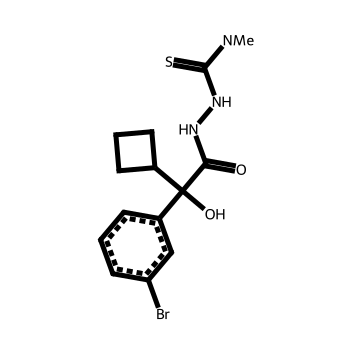 CNC(=S)NNC(=O)C(O)(c1cccc(Br)c1)C1CCC1